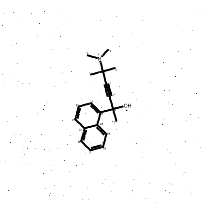 CN(C)C(C)(C)C#CC(C)(O)c1cccc2ccccc12